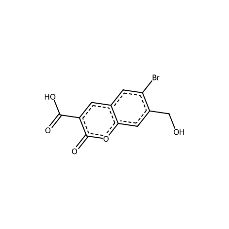 O=C(O)c1cc2cc(Br)c(CO)cc2oc1=O